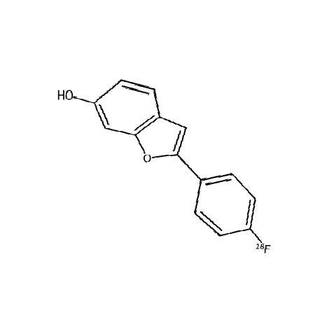 Oc1ccc2cc(-c3ccc([18F])cc3)oc2c1